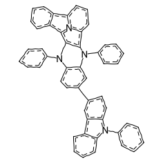 c1ccc(N2c3cc(-c4ccc5c(c4)c4ccccc4n5-c4ccccc4)ccc3N(c3ccccc3)c3c2c2cccc4c5ccccc5c3n24)cc1